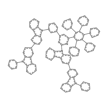 c1ccc(-c2c(-c3ccccc3)c(-c3ccccc3)c(-c3cc(-c4cccc(-n5c6ccccc6c6cc(-c7ccc8c(c7)c7ccccc7n8-c7ccccc7)ccc65)c4)nc(-n4c5ccccc5c5cc(-c6ccc7c(c6)c6ccccc6n7-c6ccccc6)ccc54)n3)c(-c3ccccc3)c2-c2ccccc2)cc1